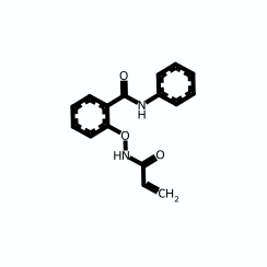 C=CC(=O)NOc1ccccc1C(=O)Nc1ccccc1